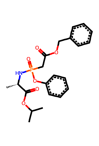 CC(C)OC(=O)[C@H](C)NP(=O)(CC(=O)OCc1ccccc1)Oc1ccccc1